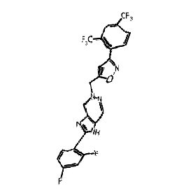 Fc1ccc(-c2nc3c([nH]2)C=NN(Cc2cc(-c4ccc(C(F)(F)F)cc4C(F)(F)F)no2)C3)c(F)c1